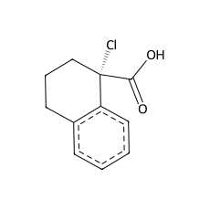 O=C(O)[C@]1(Cl)CCCc2ccccc21